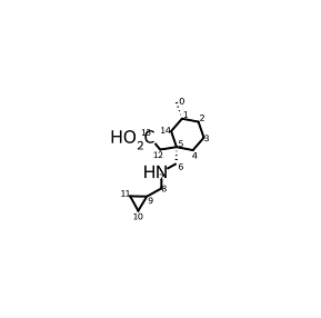 C[C@@H]1CCC[C@@](CNCC2CC2)(CC(=O)O)C1